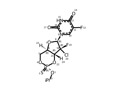 CC(C)O[P@]1(=S)OC[C@H]2O[C@@H](n3cc(F)c(=O)[nH]c3=O)[C@](F)(Cl)[C@@H]2O1